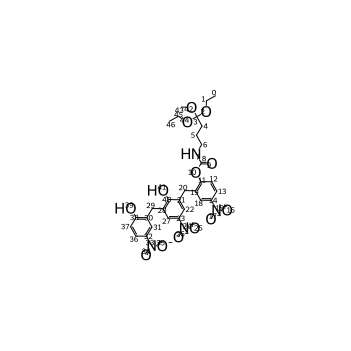 CCOC(CCCNC(=O)Oc1ccc([N+](=O)[O-])cc1Cc1cc([N+](=O)[O-])cc(Cc2cc([N+](=O)[O-])ccc2O)c1O)(OC)OCC